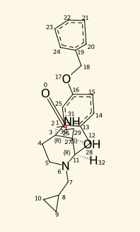 O=C1C[C@]23CCN(CC4CC4)[C@H](Cc4ccc(OCc5ccccc5)cc42)[C@]3(O)CCN1